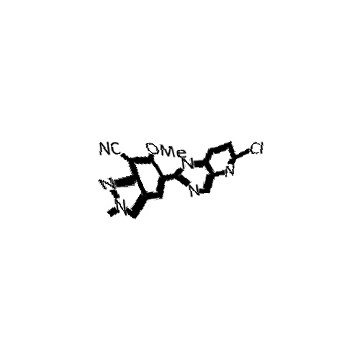 COc1c(-c2ncc3nc(Cl)ccc3n2)cc2cn(C)nc2c1C#N